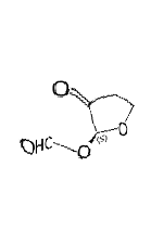 O=CO[C@@H]1OCCC1=O